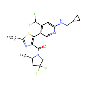 CCOC(=O)c1nc(C(=O)N2CC(F)(F)CC2C)c(-c2cnc(NCC3CC3)cc2C(F)F)s1